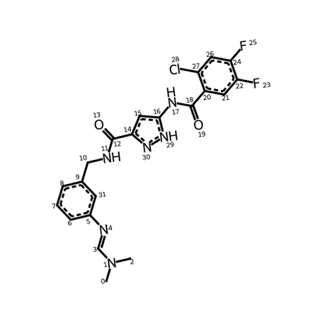 CN(C)C=Nc1cccc(CNC(=O)c2cc(NC(=O)c3cc(F)c(F)cc3Cl)[nH]n2)c1